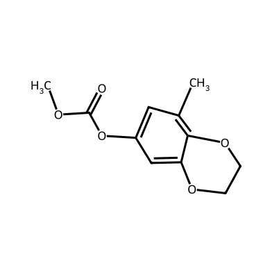 COC(=O)Oc1cc(C)c2c(c1)OCCO2